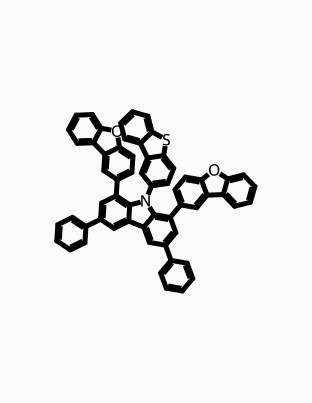 c1ccc(-c2cc(-c3ccc4oc5ccccc5c4c3)c3c(c2)c2cc(-c4ccccc4)cc(-c4ccc5oc6ccccc6c5c4)c2n3-c2ccc3sc4ccccc4c3c2)cc1